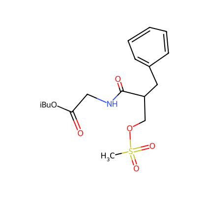 CC(C)COC(=O)CNC(=O)C(COS(C)(=O)=O)Cc1ccccc1